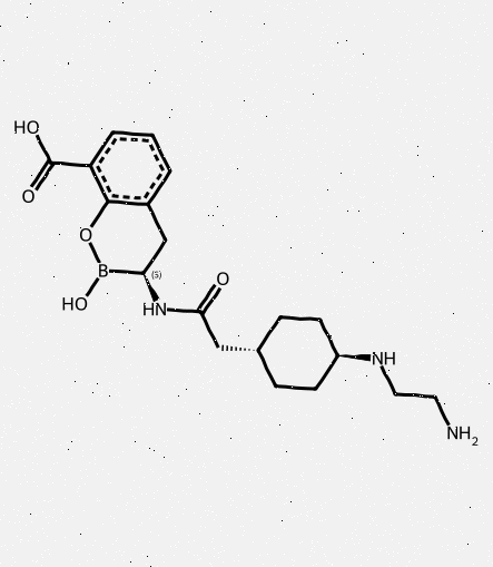 NCCN[C@H]1CC[C@H](CC(=O)N[C@@H]2Cc3cccc(C(=O)O)c3OB2O)CC1